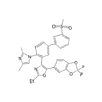 CCc1nc(-c2cc(-c3cccc(S(C)(=O)=O)c3)ccc2-n2cc(C)nc2C)c(-c2ccc3c(c2)OC(F)(F)O3)o1